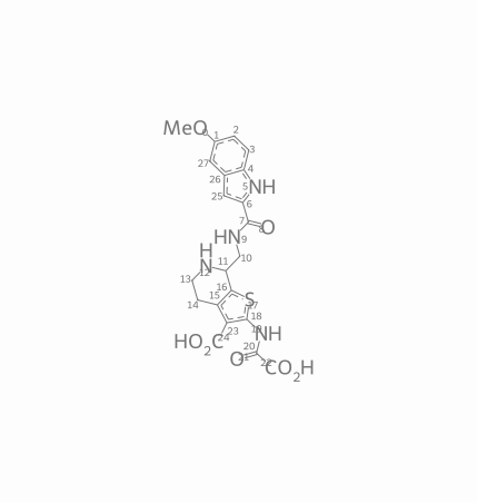 COc1ccc2[nH]c(C(=O)NCC3NCCc4c3sc(NC(=O)C(=O)O)c4C(=O)O)cc2c1